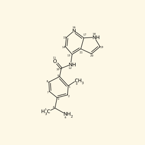 Cc1cc(C(C)N)ccc1C(=O)Nc1ccnc2[nH]ccc12